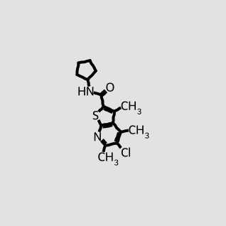 Cc1nc2sc(C(=O)NC3CCCC3)c(C)c2c(C)c1Cl